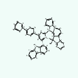 CC1(C)c2ccccc2-c2ccc3c4ccccc4n(-c4nc(-c5ccc(-c6ccccc6)cc5)cc(-c5cccc6c5oc5ccccc56)n4)c3c21